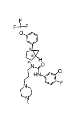 CN1CCN(CCCN(C(=O)Nc2ccc(F)c(Cl)c2)[C@@H]2CC[C@]3(c4cccc(OC(F)(F)F)c4)C[C@H]23)CC1